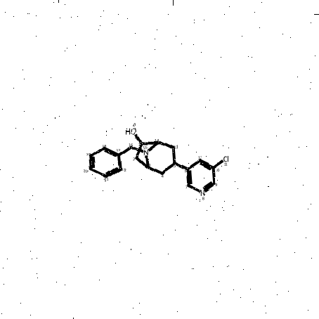 OC1CC2CC(c3cncc(Cl)c3)CC1N2Cc1ccccc1